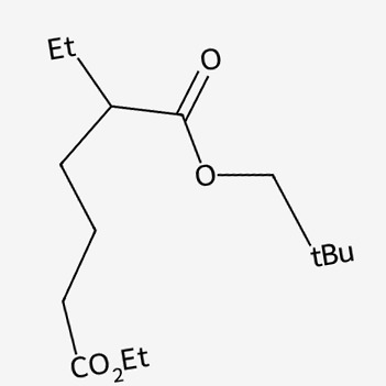 CCOC(=O)CCCC(CC)C(=O)OCC(C)(C)C